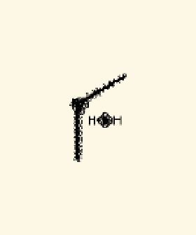 CCCCCCCCCCCCCCCCCC(=O)OC(C)(OC(=O)CCCCCCCCCCCCCCCCC)N(C)C.O=S(=O)(O)O